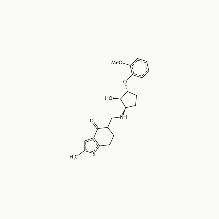 COc1ccccc1O[C@@H]1CC[C@@H](NCC2CCc3sc(C)cc3C2=O)[C@H]1O